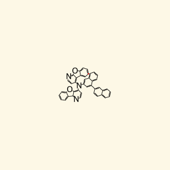 c1ccc2cc(-c3cc(N(c4ccnc5c4oc4ccccc45)c4ccnc5oc6ccccc6c45)cc4ccccc34)ccc2c1